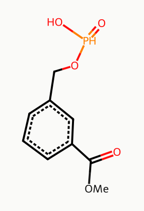 COC(=O)c1cccc(CO[PH](=O)O)c1